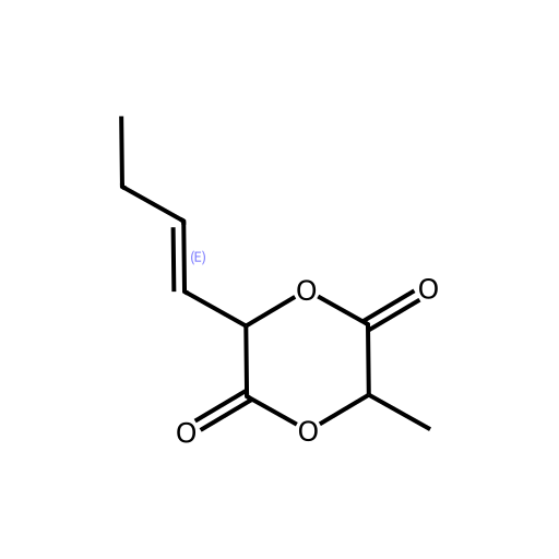 CC/C=C/C1OC(=O)C(C)OC1=O